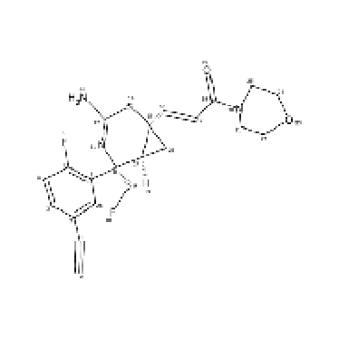 C#Cc1ccc(F)c([C@@]2(CF)N=C(N)S[C@@]3(/C=C/C(=O)N4CCOCC4)C[C@H]32)c1